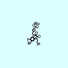 CN(C)CCn1c(=O)c(=O)n(CC2CN(C(=O)OC(C)(C)C)C2)c2cc(F)c(Br)cc21